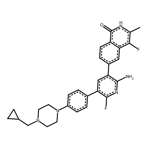 Cc1[nH]c(=O)c2ccc(-c3cc(-c4ccc(N5CCN(CC6CC6)CC5)cc4)c(F)nc3N)cc2c1F